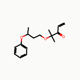 C=CC(=O)C(C)(C)OCCC(C)Oc1ccccc1